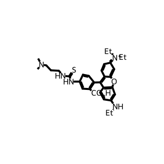 CCNc1ccc2c(-c3ccc(NC(=S)NCCCN(C)C)cc3C(=O)O)c3ccc(=[N+](CC)CC)cc-3oc2c1